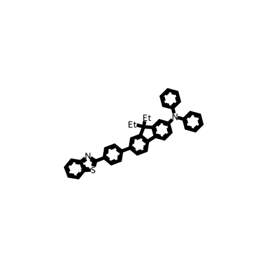 CCC1(CC)c2cc(-c3ccc(-c4nc5ccccc5s4)cc3)ccc2-c2ccc(N(c3ccccc3)c3ccccc3)cc21